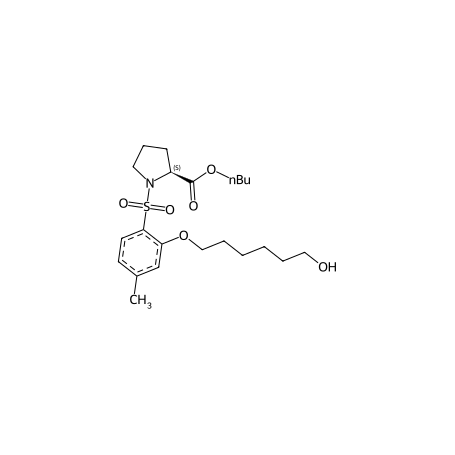 CCCCOC(=O)[C@@H]1CCCN1S(=O)(=O)c1ccc(C)cc1OCCCCCCO